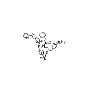 COc1ccc(CN(C)CCN(C)C(=O)[C@H](Cc2ccccc2)N(Cc2ccc(-c3ccccn3)cc2)C(=O)C=Cc2ccc(C(F)(F)F)cc2)cn1